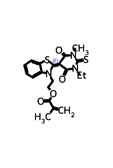 C=C(C)C(=O)OCCN1/C(=C2/C(=O)N(C)C(=S)N(CC)C2=O)Sc2ccccc21